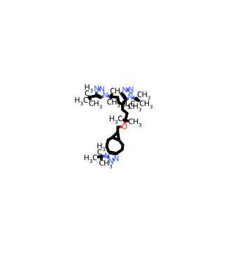 CC(C)(CC[C@@](C)(CCC(C)(C)n1cc(C(C)(C)C)nn1)c1cnnn1C(C)(C)C)OCC1C2CCc3nnn(C(C)(C)C)c3CCC21